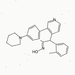 CC(=NO)C(c1ccccc1C)c1ccncc1-c1ccc(N2CCCCC2)cc1